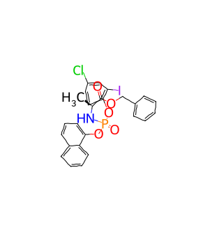 C[C@H](NP(=O)(Oc1ccc(Cl)cc1I)Oc1cccc2ccccc12)C(=O)OCc1ccccc1